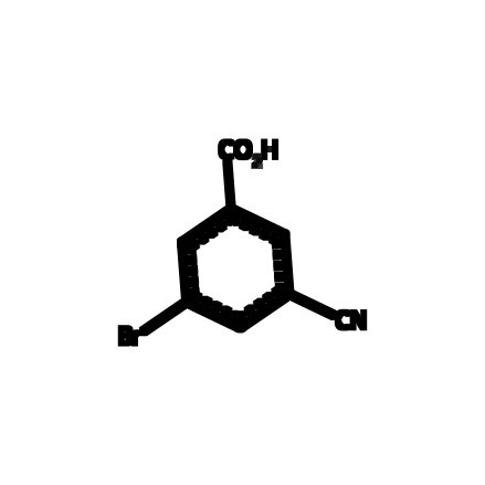 N#Cc1cc(Br)cc(C(=O)O)c1